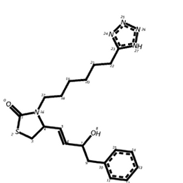 O=C1SCC(C=CC(O)Cc2ccccc2)N1CCCCCCc1nnn[nH]1